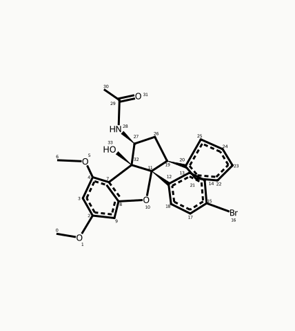 COc1cc(OC)c2c(c1)O[C@@]1(c3ccc(Br)cc3)[C@H](c3ccccc3)C[C@H](NC(C)=O)[C@@]21O